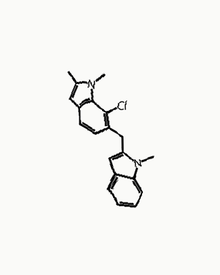 Cc1cc2ccc(Cc3cc4ccccc4n3C)c(Cl)c2n1C